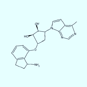 Cc1ncnc2c1ccn2C1CC(Oc2cccc3c2C(N)CC3)[C@@H](O)[C@H]1O